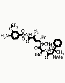 CN[C@H](C(=O)NC(C(=O)N(C)[C@H](/C=C(\C)C(=O)NS(=O)(=O)c1ccc(N)c(OC(F)(F)F)c1)C(C)C)C(C)(C)C)C(C)(C)c1ccccc1